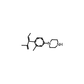 C=C(C)/C(=C/C)c1ccc(N2CCNCC2)cc1C